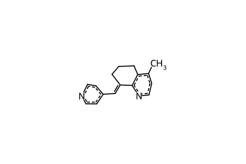 Cc1ccnc2c1CCC/C2=C\c1ccncc1